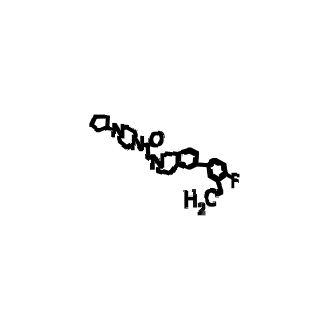 C=Cc1cc(-c2ccc3c(c2)CCN(CC(=O)N2CCN(C4CCCC4)CC2)C3)ccc1F